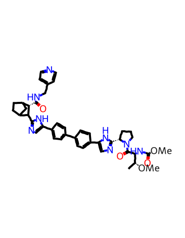 COC(=O)N[C@H](C(=O)N1CCC[C@H]1c1ncc(-c2ccc(-c3ccc(-c4cnc(C5C6CCC(C6)[C@@H]5C(=O)NCc5ccncc5)[nH]4)cc3)cc2)[nH]1)[C@@H](C)OC